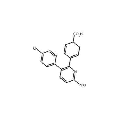 CCCCc1cnc(-c2ccc(Cl)cc2)c(C2=CCC(C(=O)O)C=C2)n1